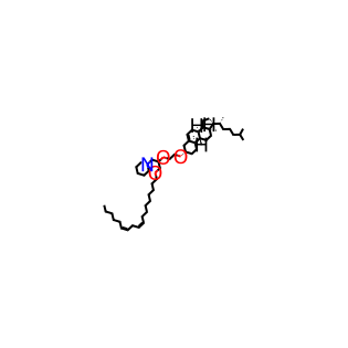 CCCCC/C=C\C/C=C\CCCCCCCCOCC(CN1CCCCC1)OCCO[C@H]1CC[C@@]2(C)C(=CC[C@H]3[C@@H]4CC[C@H]([C@H](C)CCCC(C)C)[C@@]4(C)CC[C@@H]32)C1